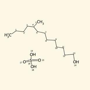 CCCCC(C)CCCCCCCCO.O=S(=O)(O)O